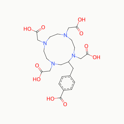 O=C(O)CN1CCN(CC(=O)O)CCN(CC(=O)O)C(Cc2ccc(C(=O)O)cc2)CN(CC(=O)O)CC1